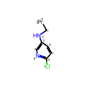 CC(C)CNc1ccc(Cl)nc1